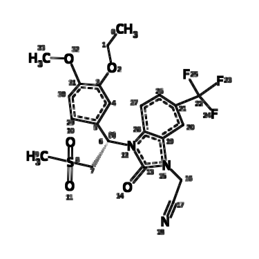 CCOc1cc([C@@H](CS(C)(=O)=O)n2c(=O)n(CC#N)c3cc(C(F)(F)F)ccc32)ccc1OC